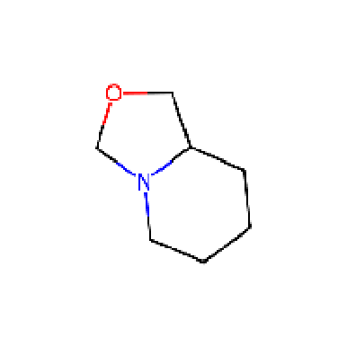 C1CCN2COCC2C1